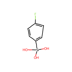 O[Si](O)(O)c1ccc(F)cc1